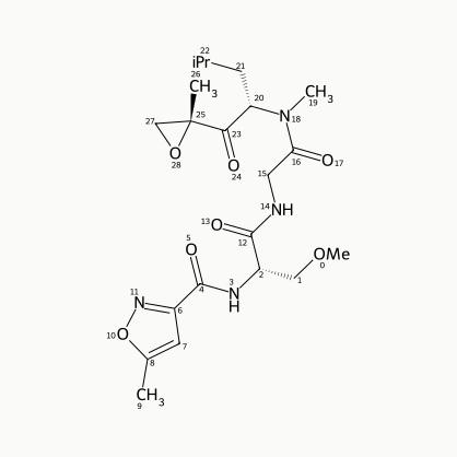 COC[C@H](NC(=O)c1cc(C)on1)C(=O)NCC(=O)N(C)[C@@H](CC(C)C)C(=O)[C@@]1(C)CO1